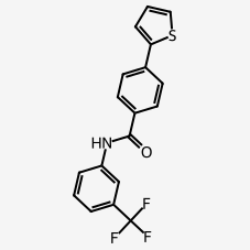 O=C(Nc1cccc(C(F)(F)F)c1)c1ccc(-c2cccs2)cc1